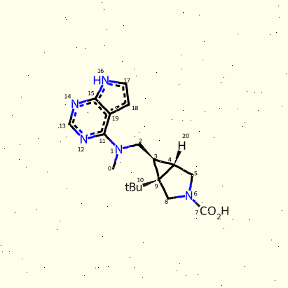 CN(C[C@H]1[C@@H]2CN(C(=O)O)C[C@@]21C(C)(C)C)c1ncnc2[nH]ccc12